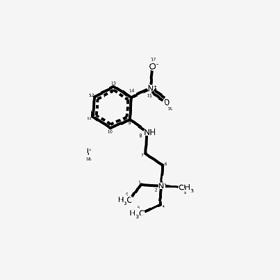 CC[N+](C)(CC)CCNc1ccccc1[N+](=O)[O-].[I-]